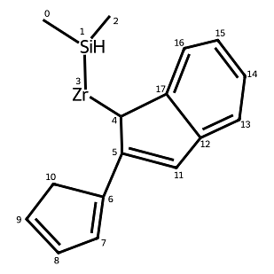 C[SiH](C)[Zr][CH]1C(C2=CC=CC2)=Cc2ccccc21